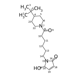 CC(C)(C)C1CCN(C(=O)CCCCCN2C(=O)C=CC2O)CC1